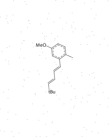 COc1ccc(C)c(/C=C/C=C/C(C)(C)C)c1